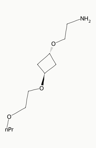 CCCOCCO[C@H]1C[C@H](OCCN)C1